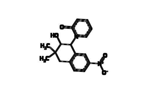 CC1(C)Cc2ccc([N+](=O)[O-])cc2C(n2ccccc2=O)C1O